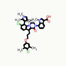 Cc1cc(OCCCc2c3n(c4c(-c5c(C)cn(C)c5C)c(Cl)ccc24)[C@H](C)CN(c2cccc4c(C(=O)O)cn(C)c24)C3=O)cc(C)c1Cl